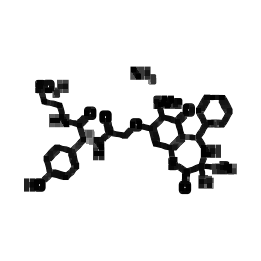 CCCCC1(CC)NC(c2ccccc2)C2=C(C=C(OCC(=O)N[C@@H](C(=O)NCCS(=O)(=O)O)c3ccc(O)cc3)C(SC)C2=O)SC1=O.N